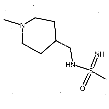 CN1CCC(CNS(C)(=N)=O)CC1